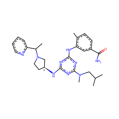 Cc1ccc(C(N)=O)cc1Nc1nc(N[C@H]2CCN(C(C)c3ccccn3)C2)nc(N(C)CC(C)C)n1